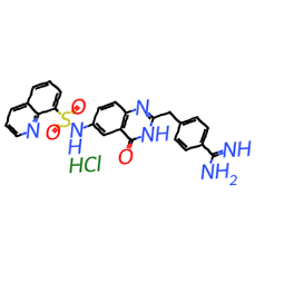 Cl.N=C(N)c1ccc(Cc2nc3ccc(NS(=O)(=O)c4cccc5cccnc45)cc3c(=O)[nH]2)cc1